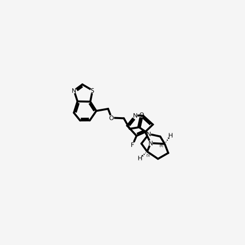 O=C(CCOCc1cccc2ncsc12)N1C[C@H]2CC[C@@H](C1)N2c1ccncc1F